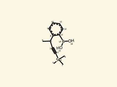 CC(C#C[Si](C)(C)C)c1ccccc1B(O)O